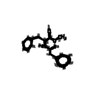 COC(=O)[C@H](Cc1ccccc1)NC(=S)Cc1ccccc1